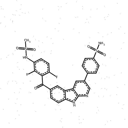 CS(=O)(=O)Nc1ccc(F)c(C(=O)c2ccc3[nH]c4ncc(-c5ccc(S(N)(=O)=O)cc5)cc4c3c2)c1F